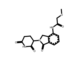 COCC(=O)Nc1cccc2c1CN(C1CCC(=O)NC1=O)C2=O